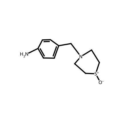 Nc1ccc(CN2CC[S+]([O-])CC2)cc1